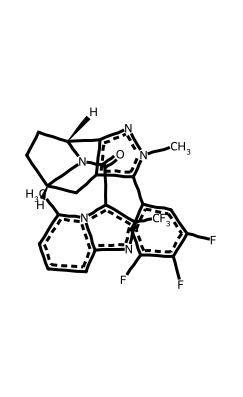 Cc1cccc2nc(C(F)(F)F)c(C(=O)N3[C@H]4CC[C@@H]3c3nn(C)c(-c5cc(F)c(F)c(F)c5)c3C4)n12